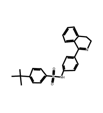 CC(C)(C)c1ccc(S(=O)(=O)Nc2ccc(C3=NCCc4ccccc43)cc2)cc1